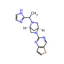 CC(c1ncc[nH]1)N1C[C@@H]2C[C@H]1CN2c1n[c]c2sccc2n1